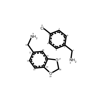 NCc1ccc(Cl)cc1.NCc1ccc2c(c1)OCO2